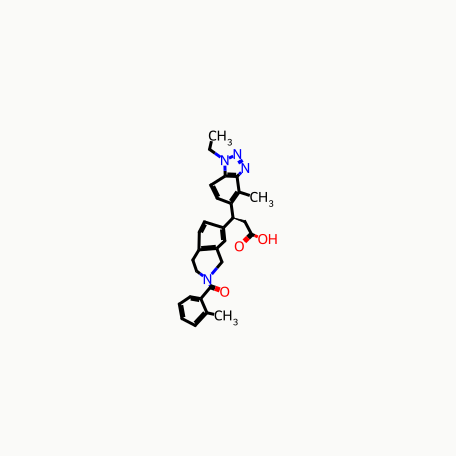 CCn1nnc2c(C)c([C@@H](CC(=O)O)c3ccc4c(c3)CN(C(=O)c3ccccc3C)CC4)ccc21